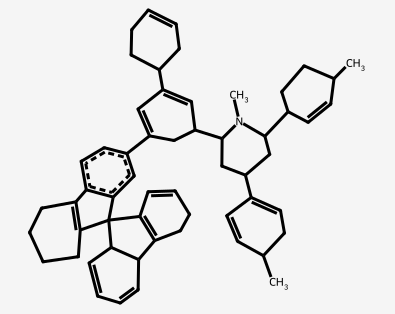 CC1C=CC(C2CC(C3C=CC(C)CC3)N(C)C(C3C=C(C4CC=CCC4)C=C(c4ccc5c(c4)C4(C6=C(CCC=C6)C6C=CC=CC64)C4=C5CCCC4)C3)C2)=CC1